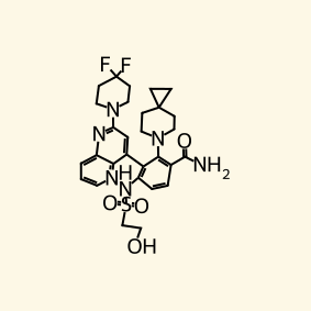 NC(=O)c1ccc(NS(=O)(=O)CCO)c(-c2cc(N3CCC(F)(F)CC3)nc3cccnc23)c1N1CCC2(CC1)CC2